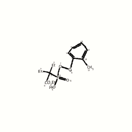 CCOC(=O)C(CC)(CC)P(=O)(O)OOc1ccccc1C